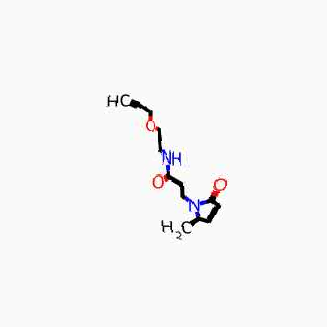 C#CCOCCNC(=O)CCN1C(=C)C=CC1=O